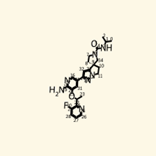 CC(C)NC(=O)N1CC[C@@]2(CCn3nc(-c4cnc(N)c(OC(C)c5ncccc5F)c4)cc32)C1